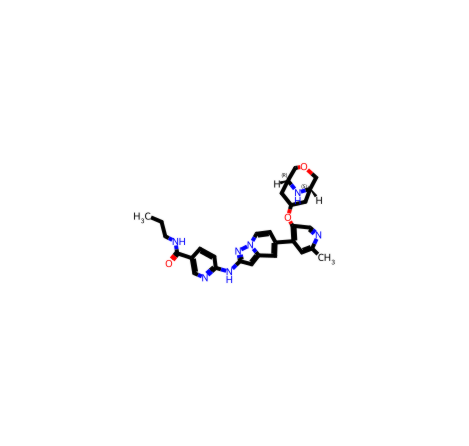 CCCNC(=O)c1ccc(Nc2cc3cc(-c4cc(C)ncc4OC4C[C@H]5COC[C@@H](C4)N5)ccn3n2)nc1